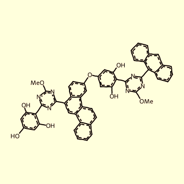 COc1nc(-c2c(O)cc(Oc3ccc4c(-c5nc(OC)nc(-c6c(O)cc(O)cc6O)n5)cc5c6ccccc6ccc5c4c3)cc2O)nc(-c2c3ccccc3cc3ccccc23)n1